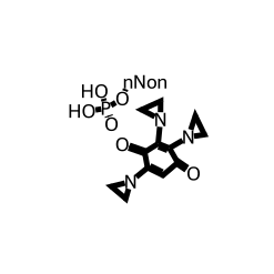 CCCCCCCCCOP(=O)(O)O.O=C1C=C(N2CC2)C(=O)C(N2CC2)=C1N1CC1